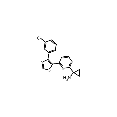 NC1(c2nccc(-c3scnc3-c3cccc(Cl)c3)n2)CC1